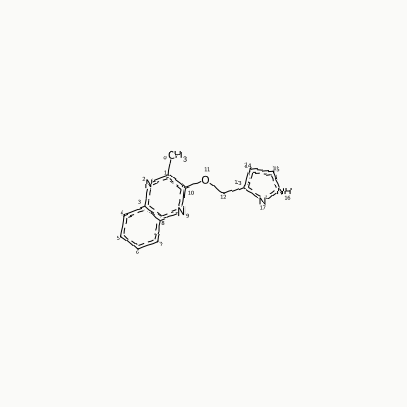 Cc1nc2ccccc2nc1OCc1cc[nH]n1